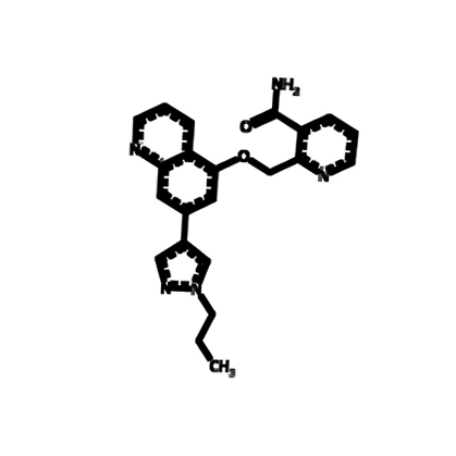 CCCn1cc(-c2cc(OCc3ncccc3C(N)=O)c3cccnc3c2)cn1